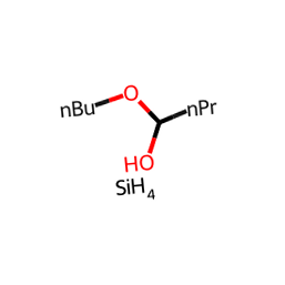 CCCCOC(O)CCC.[SiH4]